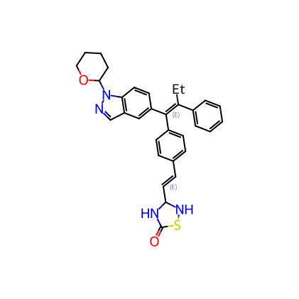 CC/C(=C(/c1ccc(/C=C/C2NSC(=O)N2)cc1)c1ccc2c(cnn2C2CCCCO2)c1)c1ccccc1